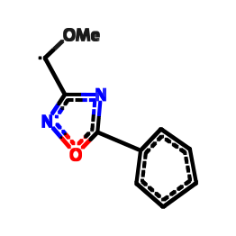 CO[CH]c1noc(-c2ccccc2)n1